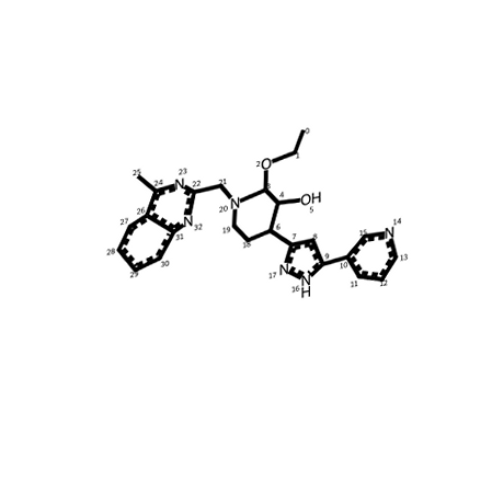 CCOC1C(O)C(c2cc(-c3cccnc3)[nH]n2)CCN1Cc1nc(C)c2ccccc2n1